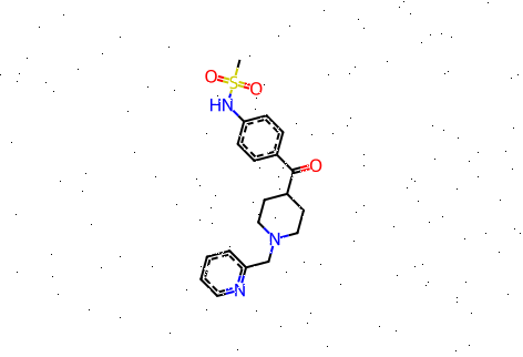 CS(=O)(=O)Nc1ccc(C(=O)C2CCN(Cc3ccccn3)CC2)cc1